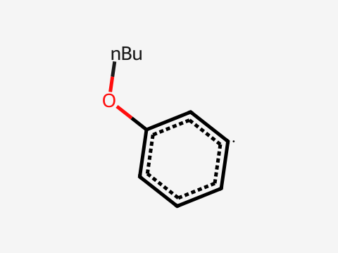 CCCCOc1c[c]ccc1